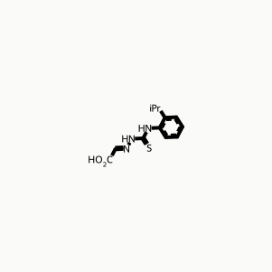 CC(C)c1ccccc1NC(=S)N/N=C/C(=O)O